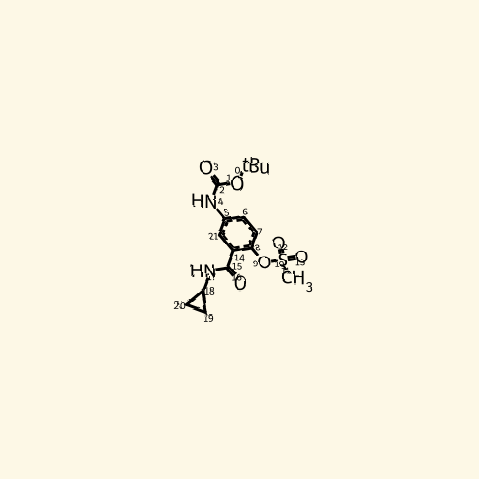 CC(C)(C)OC(=O)Nc1ccc(OS(C)(=O)=O)c(C(=O)NC2CC2)c1